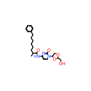 CC(CCCCCCc1ccccc1)C(=O)Nc1ccn(C2COC(CO)O2)c(=O)n1